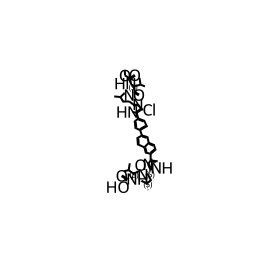 COC(=O)N[C@H](C(=O)N1CC(C)CC1c1nc(Cl)c(-c2ccc(-c3ccc4cc(-c5c[nH]c([C@@H]6C[C@H](C)CN6C(=O)[C@@H](NC(=O)O)C(C)C)n5)ccc4c3)cc2)[nH]1)C(C)C